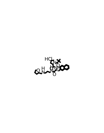 CC(C)(C)C(=O)N1CCCC1C(=O)N[C@H](Cc1ccc2ccccc2c1)C(=O)NCCCNCC1CCCO1.Cl